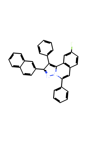 Fc1ccc2cc(-c3ccccc3)n3nc(-c4ccc5ccccc5c4)c(-c4ccccc4)c3c2c1